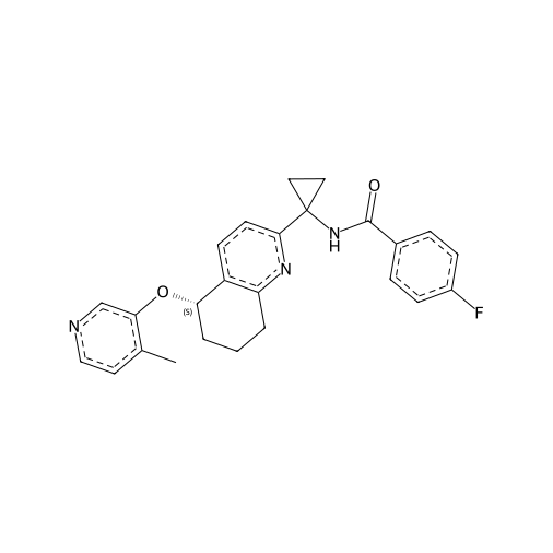 Cc1ccncc1O[C@H]1CCCc2nc(C3(NC(=O)c4ccc(F)cc4)CC3)ccc21